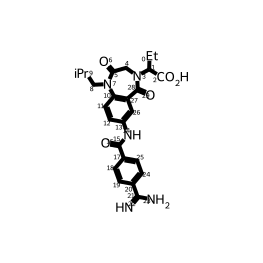 CCC(C(=O)O)N1CC(=O)N(CC(C)C)c2ccc(NC(=O)c3ccc(C(=N)N)cc3)cc2C1=O